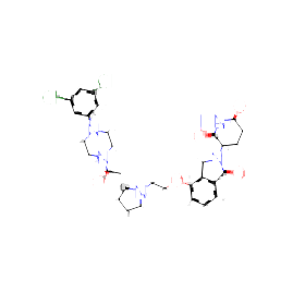 O=C1CCC(N2Cc3c(OCCN4CCC[C@@H]4CC(=O)N4CCN(c5cc(Cl)cc(Cl)c5)CC4)cccc3C2=O)C(=O)N1